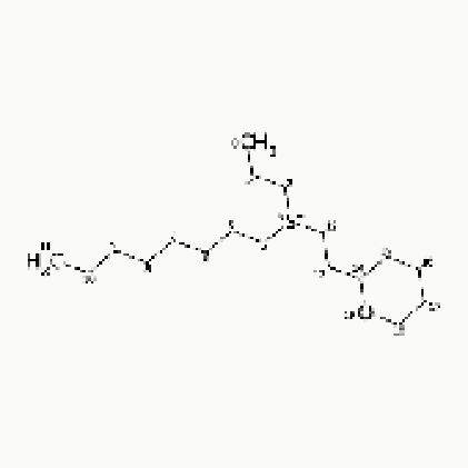 C[CH]C[S+](CCCCCCCC)CCC1CCCCO1